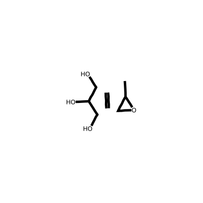 C=C.CC1CO1.OCC(O)CO